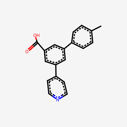 Cc1ccc(-c2cc(C(=O)O)cc(-c3ccncc3)c2)cc1